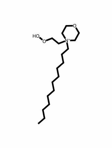 CCCCCCCCCCCC[N+]1(CCOO)CCOCC1